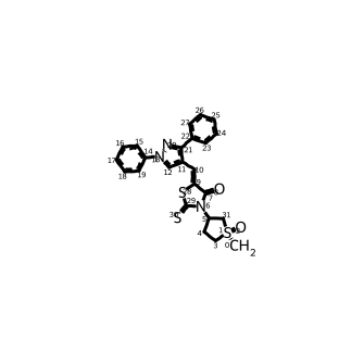 C=S1(=O)CCC(N2C(=O)/C(=C/c3cn(-c4ccccc4)nc3-c3ccccc3)SC2=S)C1